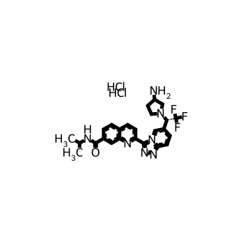 CC(C)NC(=O)c1ccc2ccc(-c3nnc4ccc([C@H](N5CCC(N)C5)C(F)(F)F)cn34)nc2c1.Cl.Cl